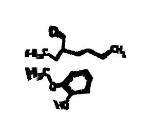 CCCCC(C=O)CC.COc1ccccc1O